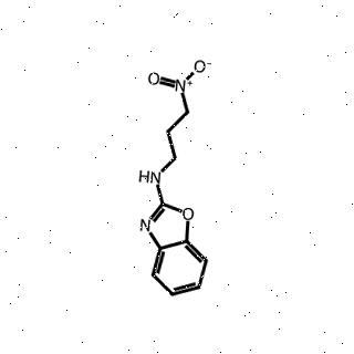 O=[N+]([O-])CCCNc1nc2ccccc2o1